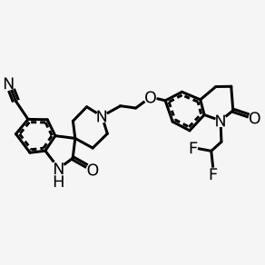 N#Cc1ccc2c(c1)C1(CCN(CCOc3ccc4c(c3)CCC(=O)N4CC(F)F)CC1)C(=O)N2